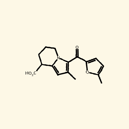 Cc1ccc(C(=O)c2c(C)cc3n2CCCC3C(=O)O)o1